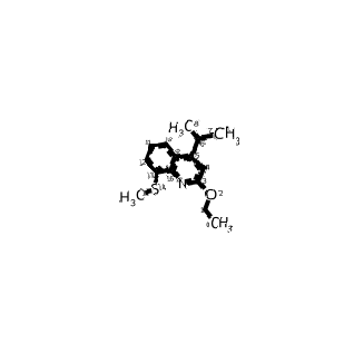 CCOc1cc(C(C)C)c2cccc(SC)c2n1